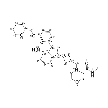 CNC(=O)[C@@H]1COCCN1CC1CC(n2cc(-c3cccc(OCC4CCCCO4)c3)c3c(N)ncnc32)C1